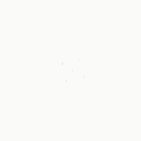 O=P(F)(F)F.[K]